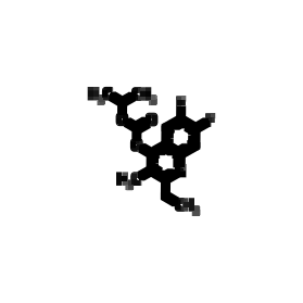 CCc1nc2cc(F)c(F)cc2c(OC(=O)OC(C)C)c1C